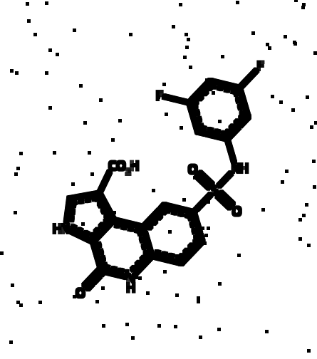 O=C(O)c1c[nH]c2c(=O)[nH]c3ccc(S(=O)(=O)Nc4cc(F)cc(F)c4)cc3c12